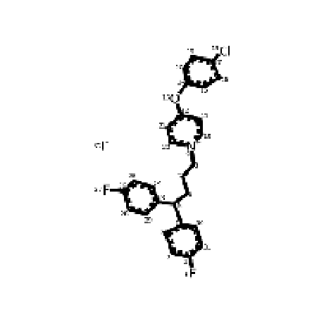 Fc1ccc(C(CCC[n+]2ccc(Oc3ccc(Cl)cc3)cc2)c2ccc(F)cc2)cc1.[I-]